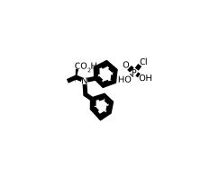 C[C@@H](C(=O)O)N(Cc1ccccc1)c1ccccc1.O=P(O)(O)Cl